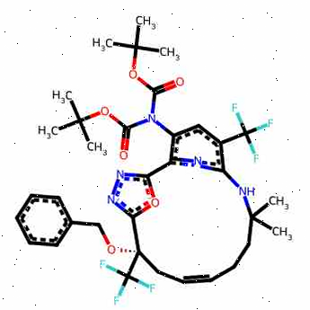 CC1(C)CCC=CC[C@@](OCc2ccccc2)(C(F)(F)F)c2nnc(o2)-c2nc(c(C(F)(F)F)cc2N(C(=O)OC(C)(C)C)C(=O)OC(C)(C)C)N1